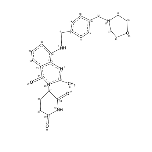 Cc1nc2c(NCc3ccc(CN4CCOCC4)cc3)cccc2c(=O)n1C1CCC(=O)NC1=O